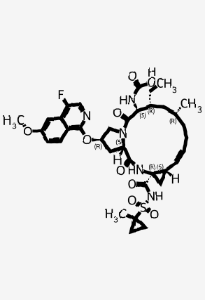 CC[C@@H]1C[C@H](C)CCC=C[C@@H]2C[C@@]2(C(=O)NS(=O)(=O)C2(C)CC2)NC(=O)[C@@H]2C[C@@H](Oc3ncc(F)c4cc(OC)ccc34)CN2C(=O)[C@H]1NC(=O)O